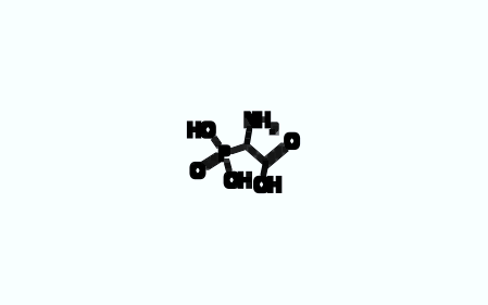 NC(C(=O)O)P(=O)(O)O